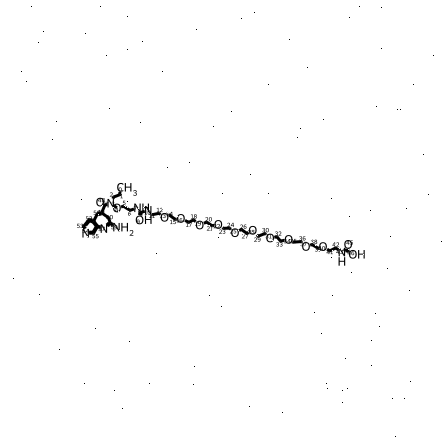 CCCN(OCCNC(=O)NCCOCCOCCOCCOCCOCCOCCOCCOCCOCCOCCNC(=O)O)C(=O)C1=Cc2ccncc2N=C(N)C1